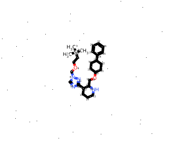 C[Si](C)(C)CCOCn1cnc(C2CCCNC2COC2CCC(c3ccccc3)CC2)n1